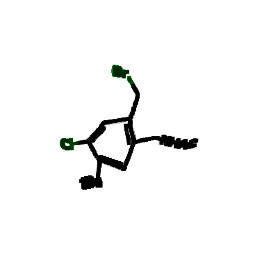 CC(=O)Nc1cc(C(C)(C)C)c(Cl)cc1CBr